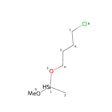 CO[SiH](C)OCCCCCl